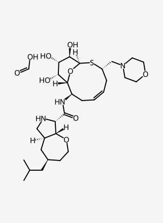 CC(C)C[C@@H]1CCO[C@@H]2[C@H](CN[C@@H]2C(=O)N[C@@H]2C/C=C\C[C@@H](CN3CCOCC3)S[C@H]3O[C@H]2[C@H](O)[C@H](O)[C@H]3O)C1.O=CO